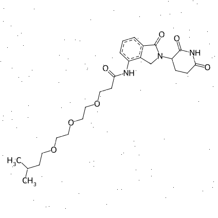 CC(C)CCOCCOCCOCCC(=O)Nc1cccc2c1CN(C1CCC(=O)NC1=O)C2=O